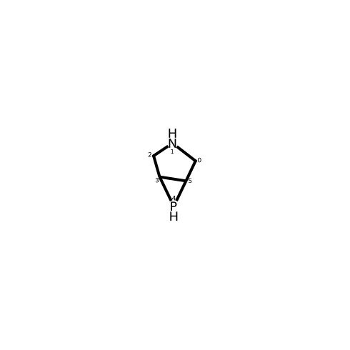 C1NCC2PC12